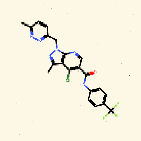 Cc1ccc(Cn2nc(C)c3c(Cl)c(C(=O)Nc4ccc(C(F)(F)F)cc4)cnc32)nn1